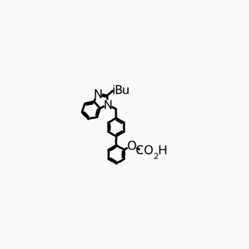 CCC(C)c1nc2ccccc2n1Cc1ccc(-c2ccccc2OC(=O)O)cc1